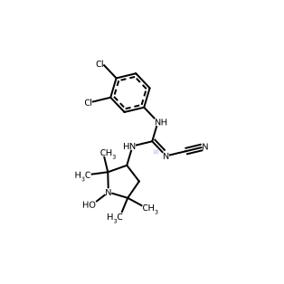 CC1(C)CC(N/C(=N/C#N)Nc2ccc(Cl)c(Cl)c2)C(C)(C)N1O